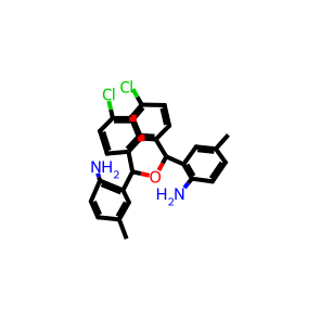 Cc1ccc(N)c(C(OC(c2ccc(Cl)cc2)c2cc(C)ccc2N)c2ccc(Cl)cc2)c1